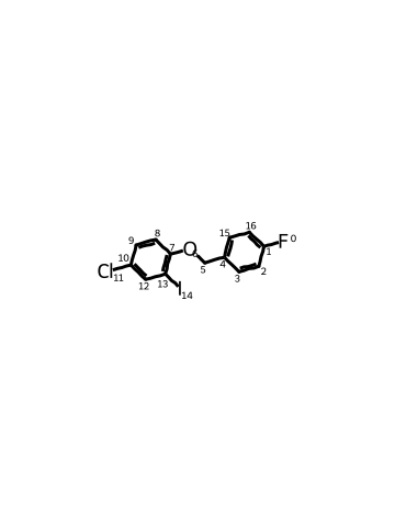 Fc1ccc(COc2ccc(Cl)cc2I)cc1